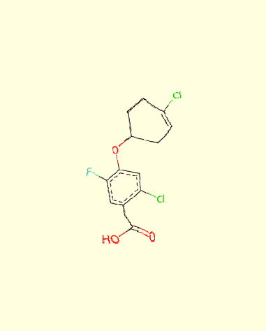 O=C(O)c1cc(F)c(OC2CC=C(Cl)CC2)cc1Cl